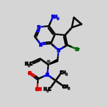 C=C[C@@H](Cn1c(Br)c(C2CC2)c2c(N)ncnc21)N(C(=O)O)C(C)(C)C